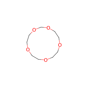 C1COCCOCOCCOCCO1